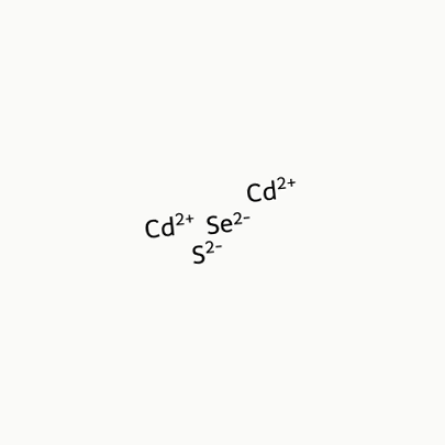 [Cd+2].[Cd+2].[S-2].[Se-2]